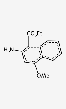 CCOC(=O)c1c(N)cc(OC)c2ccccc12